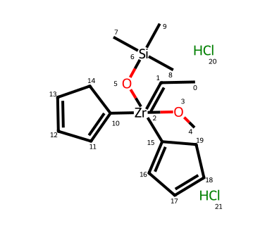 C[CH]=[Zr]([O]C)([O][Si](C)(C)C)([C]1=CC=CC1)[C]1=CC=CC1.Cl.Cl